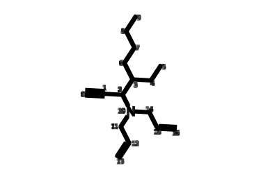 C#CC(C(CC)CCCC)N(CC=C)CC=C